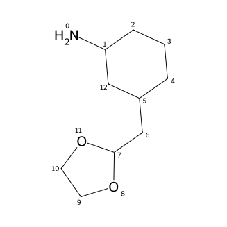 NC1CCCC(CC2OCCO2)C1